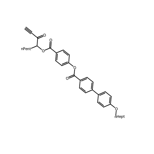 C#CC(=O)C(CCCCC)OC(=O)c1ccc(OC(=O)c2ccc(-c3ccc(OCCCCCCC)cc3)cc2)cc1